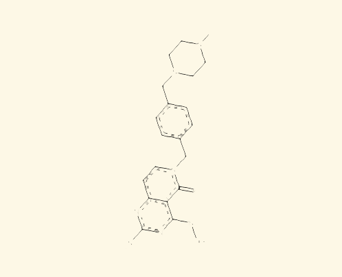 CCCCNc1nc(N)nc2ccn(Cc3ccc(CN4CCN(C)CC4)cc3)c(=O)c12